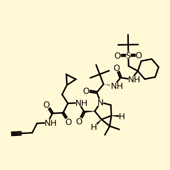 C#CCCNC(=O)C(=O)C(CC1CC1)NC(=O)[C@@H]1[C@@H]2[C@H](CN1C(=O)[C@@H](NC(=O)NC1(CS(=O)(=O)C(C)(C)C)CCCCC1)C(C)(C)C)C2(C)C